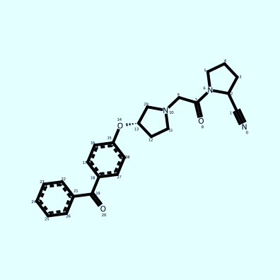 N#CC1CCCN1C(=O)CN1CC[C@H](Oc2ccc(C(=O)c3ccccc3)cc2)C1